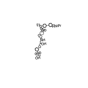 CCOc1ccc(-c2ccc(CNC(C)C)cc2)cc1S(=O)(=O)N1CCC2(CC1)C[C@@H](NC[C@H](O)COc1cccc(S(=O)(=O)C3(CO)CC3)c1)CO2